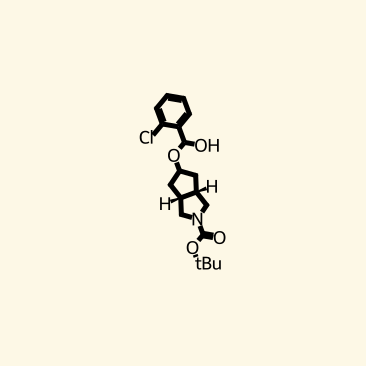 CC(C)(C)OC(=O)N1C[C@H]2CC(OC(O)c3ccccc3Cl)C[C@H]2C1